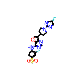 CS(=O)(=O)c1ccc(Nc2ncnc3c(C4CCN(c5ncc(F)cn5)CC4)coc23)c(F)c1